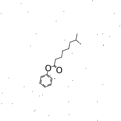 CC(C)CCCCCC(=O)Oc1[c]cccc1